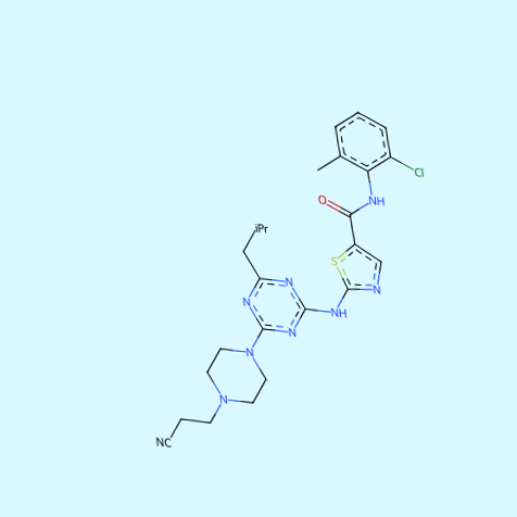 Cc1cccc(Cl)c1NC(=O)c1cnc(Nc2nc(CC(C)C)nc(N3CCN(CCC#N)CC3)n2)s1